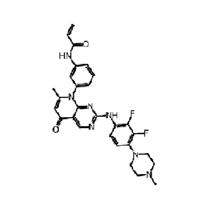 C=CC(=O)Nc1cccc(-n2c(C)cc(=O)c3cnc(Nc4ccc(N5CCN(C)CC5)c(F)c4F)nc32)c1